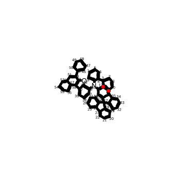 c1ccc(-c2ccccc2N(c2ccc3c(c2)C2(c4ccccc4-c4ccccc42)c2ccccc2-3)c2cccc3c2oc2c(-c4ccccc4)cc4ccccc4c23)cc1